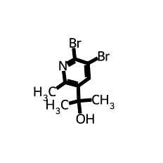 Cc1nc(Br)c(Br)cc1C(C)(C)O